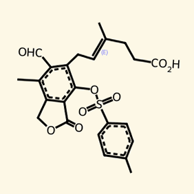 C/C(=C\Cc1c(C=O)c(C)c2c(c1OS(=O)(=O)c1ccc(C)cc1)C(=O)OC2)CCC(=O)O